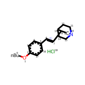 CCCCOc1ccc(/C=C/C2CN3CCC2CC3)cc1.Cl